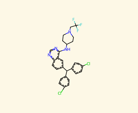 FC(F)(F)CN1CCC(Nc2ncnc3ccc(C(c4ccc(Cl)cc4)c4ccc(Cl)cc4)cc23)CC1